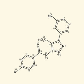 N#Cc1cccc(-c2n[nH]c(NC(=O)c3ccc(Br)cc3)c2C(=O)O)c1